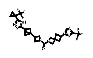 O=C(N1CC(C23CC(c4nnc(C5(C(F)(F)F)CC5)[nH]4)(C2)C3)C1)N1CC2(CC(n3cnc(C(F)(F)F)n3)C2)C1